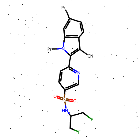 CC(C)c1ccc2c(C#N)c(-c3ccc(S(=O)(=O)NC(CF)CF)cn3)n(C(C)C)c2c1